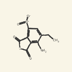 CCc1cc([N+](=O)[O-])c2c(c1N)C(=O)OC2=O